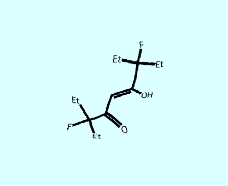 CCC(F)(CC)C(=O)/C=C(\O)C(F)(CC)CC